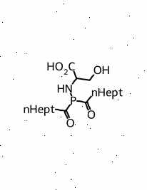 CCCCCCCC(=O)P(NC(CO)C(=O)O)C(=O)CCCCCCC